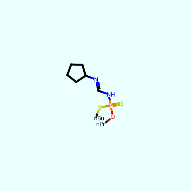 CCCCSP(=S)(NC=NC1CCCC1)OCCC